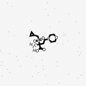 CC(CC(=O)N1CCOCC1)(C(=O)O)S(=O)(=O)CC1CC1